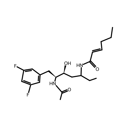 CCC/C=C/C(=O)NC(CC)C[C@H](O)[C@H](Cc1cc(F)cc(F)c1)NC(C)=O